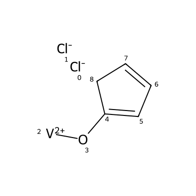 [Cl-].[Cl-].[V+2][O]C1=CC=CC1